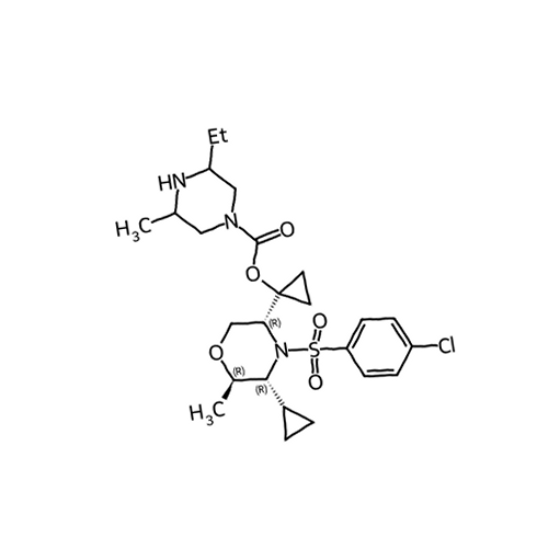 CCC1CN(C(=O)OC2([C@H]3CO[C@H](C)[C@@H](C4CC4)N3S(=O)(=O)c3ccc(Cl)cc3)CC2)CC(C)N1